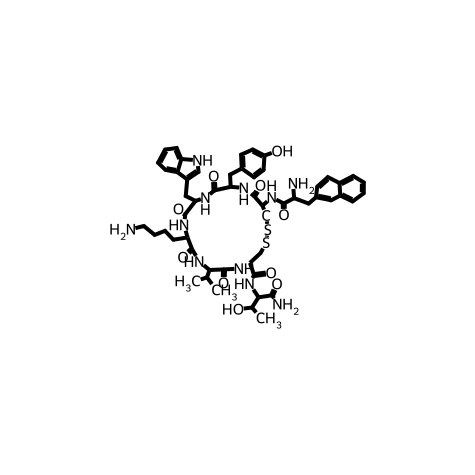 CC(C)C1NC(=O)C(CCCCN)NC(=O)C(Cc2c[nH]c3ccccc23)NC(=O)C(Cc2ccc(O)cc2)NC(=O)C(NC(=O)C(N)Cc2ccc3ccccc3c2)CSSCC(C(=O)NC(C(N)=O)C(C)O)NC1=O